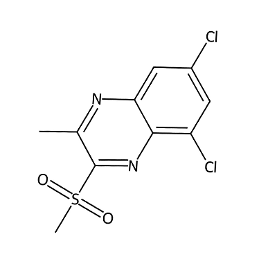 Cc1nc2cc(Cl)cc(Cl)c2nc1S(C)(=O)=O